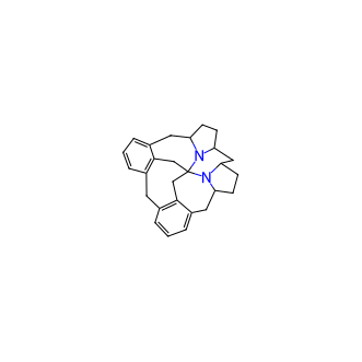 c1cc2c3c(c1)CC1CCC4CC5CCC6Cc7cccc(c7CC(C3)(N14)N65)C2